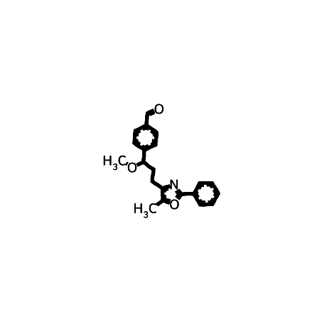 COC(CCc1nc(-c2ccccc2)oc1C)c1ccc(C=O)cc1